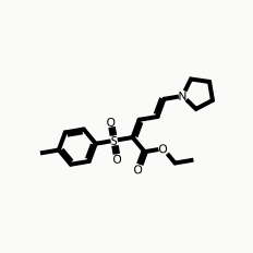 CCOC(=O)C(=CC=CN1CCCC1)S(=O)(=O)c1ccc(C)cc1